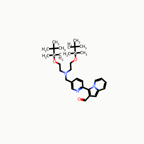 CC(C)(C)[Si](C)(C)OCCN(CCO[Si](C)(C)C(C)(C)C)Cc1ccc(-c2c(C=O)cc3ccccn23)nc1